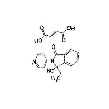 CCC1(O)c2ccccc2C(=O)N1c1ccncc1.O=C(O)C=CC(=O)O